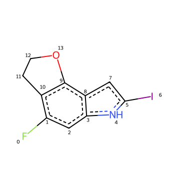 Fc1cc2[nH]c(I)cc2c2c1CCO2